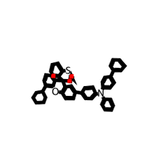 c1ccc(-c2ccc(N(c3ccccc3)c3ccc(-c4ccc5c(c4)C4(c6ccccc6Sc6ccccc64)c4cccc(C6CCCCC6)c4O5)cc3)cc2)cc1